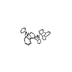 c1ccc(-n2c3ccccc3c3c4c5ccccc5n(-c5cccc6c5-c5cccc7cccc-6c57)c4ccc32)cc1